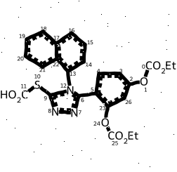 CCOC(=O)Oc1ccc(-c2nnc(SC(=O)O)n2-c2cccc3ccccc23)c(OC(=O)OCC)c1